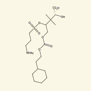 CC(=O)NCCCS(=O)(=O)OC(COC(=O)OCCC1CCCCC1)C(C)(C)[C@@H](O)C(=O)O